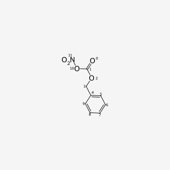 O=C(OCc1ccccc1)O[N+](=O)[O-]